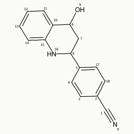 N#Cc1ccc(C2CC(O)c3ccccc3N2)cc1